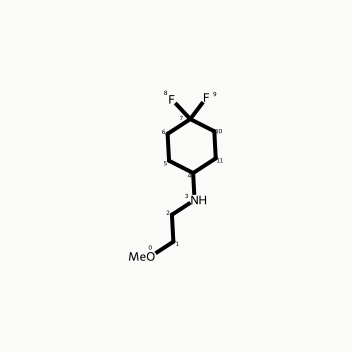 COCCNC1CCC(F)(F)CC1